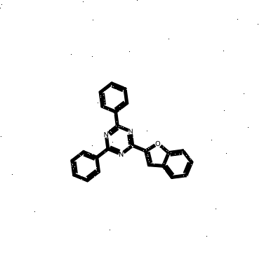 c1ccc(-c2nc(-c3ccccc3)nc(-c3cc4ccccc4o3)n2)cc1